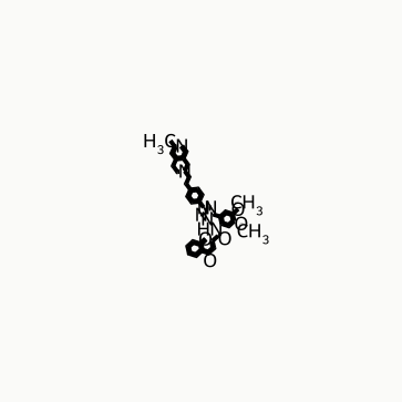 COc1cc(NC(=O)c2cc(=O)c3ccccc3o2)c(-c2nnn(-c3ccc(CCN4CCc5cc(C)ncc5C4)cc3)n2)cc1OC